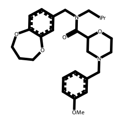 COc1cccc(CN2CCOC(C(=O)N(Cc3ccc4c(c3)OCCCO4)CC(C)C)C2)c1